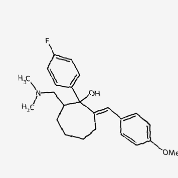 COc1ccc(C=C2CCCCC(CN(C)C)C2(O)c2ccc(F)cc2)cc1